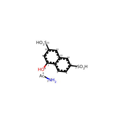 CC(N)=O.O=S(=O)(O)c1ccc2c(O)cc(S(=O)(=O)O)cc2c1